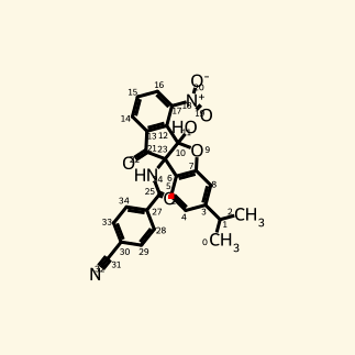 CC(C)c1ccc2c(c1)OC1(O)c3c(cccc3[N+](=O)[O-])C(=O)C21NC(=O)c1ccc(C#N)cc1